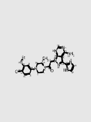 CCOc1cc(N2CCN(C(=O)Cn3nc(-c4ncc[nH]4)c4c(N)ncnc43)[C@@H](C)C2)ccc1Cl